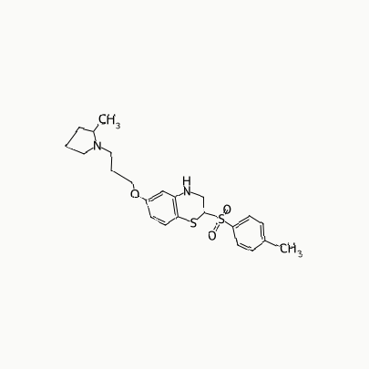 Cc1ccc(S(=O)(=O)C2CNc3cc(OCCCN4CCCC4C)ccc3S2)cc1